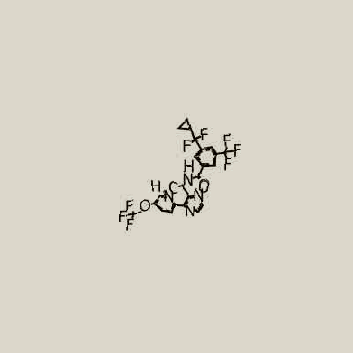 CC(NC(=O)c1cc(C(F)(F)F)cc(C(F)(F)C2CC2)c1)c1nccnc1-c1ccc(OCC(F)(F)F)cn1